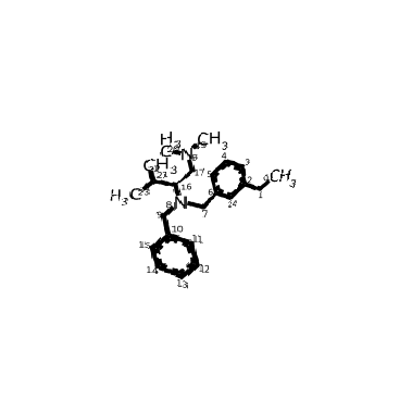 CCc1cccc(CN(Cc2ccccc2)[C@H](CN(C)C)C(C)C)c1